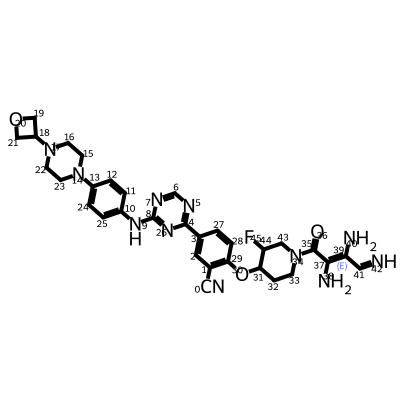 N#Cc1cc(-c2ncnc(Nc3ccc(N4CCN(C5COC5)CC4)cc3)n2)ccc1OC1CCN(C(=O)/C(N)=C(\N)C=N)CC1F